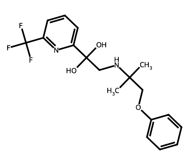 CC(C)(COc1ccccc1)NCC(O)(O)c1cccc(C(F)(F)F)n1